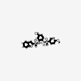 COc1ccc(S(=O)(=O)Nc2ccc(Cl)cc2NS(=O)(=O)c2cc3ccccc3o2)cn1